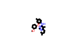 C=C(C)/C=C\c1ncnc(Nc2ccc(C)cc2O[C@H]2CCC[C@@H](OC)C2)c1C